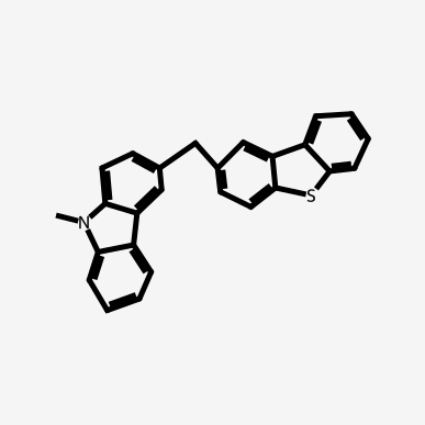 Cn1c2ccccc2c2cc(Cc3ccc4sc5ccccc5c4c3)ccc21